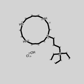 CC[N+](CC)(CC)CCCN1CCCNCCNCCCNCC1.Cl.[Cl-]